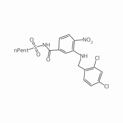 CCCCCS(=O)(=O)NC(=O)c1ccc([N+](=O)[O-])c(NCc2ccc(Cl)cc2Cl)c1